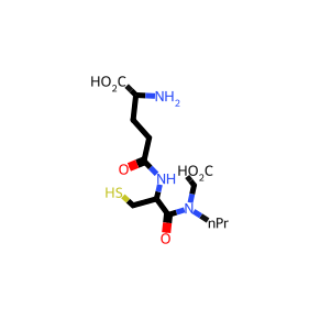 CCCN(CC(=O)O)C(=O)C(CS)NC(=O)CCC(N)C(=O)O